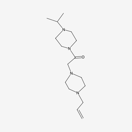 C=CCN1CCN(CC(=O)N2CCN(C(C)C)CC2)CC1